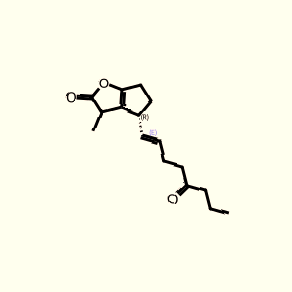 CCCC(=O)CC/C=C/[C@H]1CCC2=C1C(C)C(=O)O2